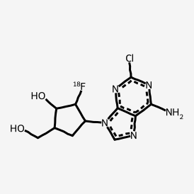 Nc1nc(Cl)nc2c1ncn2C1CC(CO)C(O)C1[18F]